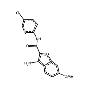 COc1ccc2c(N)c(C(=O)Nc3ccc(Cl)cn3)oc2c1